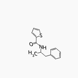 CC(Cc1ccccc1)NC(=O)c1cccs1